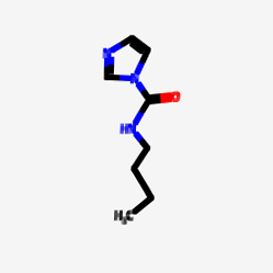 CCCCNC(=O)n1ccnc1